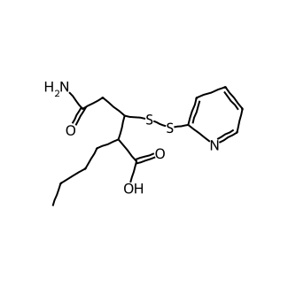 CCCCC(C(=O)O)C(CC(N)=O)SSc1ccccn1